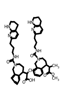 CC(C(=O)O)C1CCN(C(=O)NCCCc2ccc3c(n2)NCCC3)Cc2ccccc21.COC(=O)C(C)C1CCN(C(=O)NCCCc2ccc3c(n2)NCCC3)Cc2ccccc21